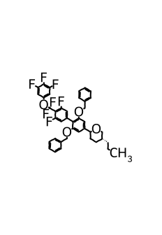 CCC[C@@H]1CCC(c2cc(OCc3ccccc3)c(-c3cc(F)c(C(F)(F)Oc4cc(F)c(F)c(F)c4)c(F)c3)c(OCc3ccccc3)c2)OC1